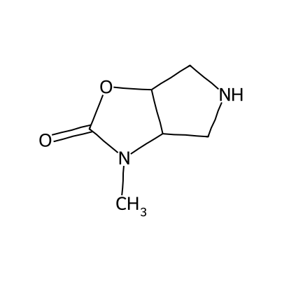 CN1C(=O)OC2CNCC21